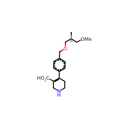 COC[C@H](C)COCc1ccc(C2=C(C(=O)O)CNCC2)cc1